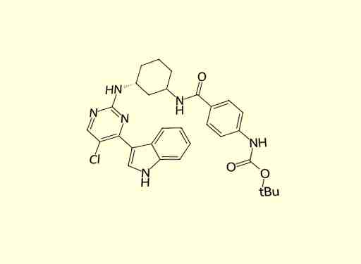 CC(C)(C)OC(=O)Nc1ccc(C(=O)NC2CCC[C@@H](Nc3ncc(Cl)c(-c4c[nH]c5ccccc45)n3)C2)cc1